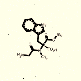 CN(C(=O)CN)[C@@](Cc1c[nH]c2ccccc12)(C(=O)O)C(=O)OC(C)(C)C